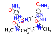 CCn1nc(C)cc1C(=O)Nc1nc2cc(C(N)=O)ccc2n1CC[C@H]1CCN(C(=O)Cn2c(NC(=O)c3cc(C)nn3CC)nc3cc(C(N)=O)ccc32)C1